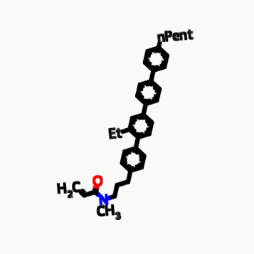 C=CC(=O)N(C)CCCc1ccc(-c2ccc(-c3ccc(-c4ccc(CCCCC)cc4)cc3)cc2CC)cc1